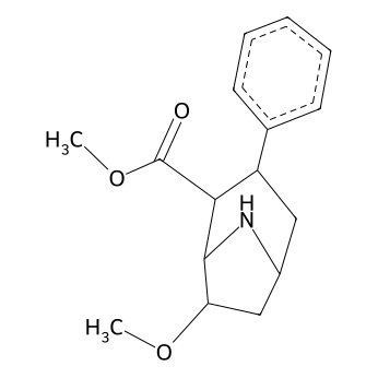 COC(=O)C1C(c2ccccc2)CC2CC(OC)C1N2